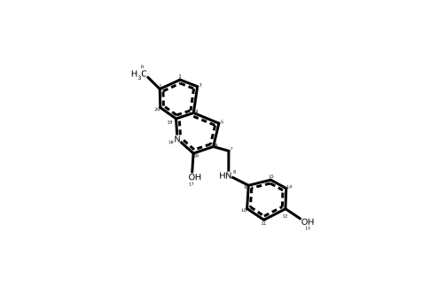 Cc1ccc2cc(CNc3ccc(O)cc3)c(O)nc2c1